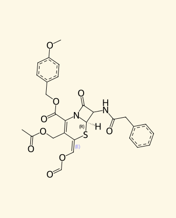 COc1ccc(COC(=O)C2=C(COC(C)=O)/C(=C\OC=O)S[C@@H]3C(NC(=O)Cc4ccccc4)C(=O)N23)cc1